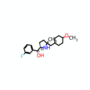 COC1CCC(C[C@@]2(C)CC[C@H]([C@H](O)c3cccc(F)c3)N2)CC1